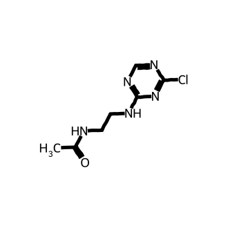 CC(=O)NCCNc1ncnc(Cl)n1